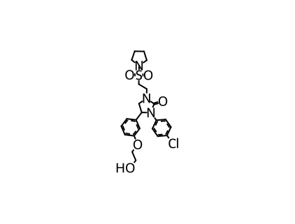 O=C1N(CCS(=O)(=O)N2CCCC2)CC(c2cccc(OCCO)c2)N1c1ccc(Cl)cc1